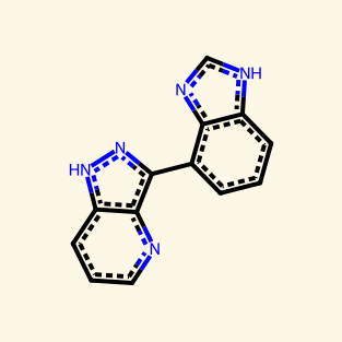 c1cc(-c2n[nH]c3cccnc23)c2nc[nH]c2c1